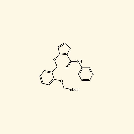 CCCCCCCCCCCOc1ccccc1COc1ccsc1C(=O)Nc1cccnc1